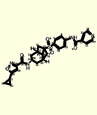 O=C(Nc1ccc(S(=O)(=O)C23C[C@H]4C[C@H](NC(=O)c5cc(C6CC6)on5)C[C@@H](C2)C43)cc1)c1ccncc1